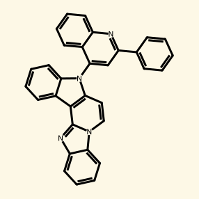 c1ccc(-c2cc(-n3c4ccccc4c4c3ccn3c5ccccc5nc43)c3ccccc3n2)cc1